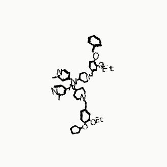 CCOc1cc(CN2CCC(N(c3ccnc(C)c3)N(c3ccnc(C)c3)C3CCN(Cc4ccc(OC5CCCC5)c(OCC)c4)CC3)CC2)ccc1OCc1ccccc1